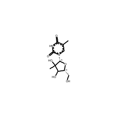 Cc1cn([C@@H]2O[C@H](CO)C(O)C2(C)O)c(=O)[nH]c1=O